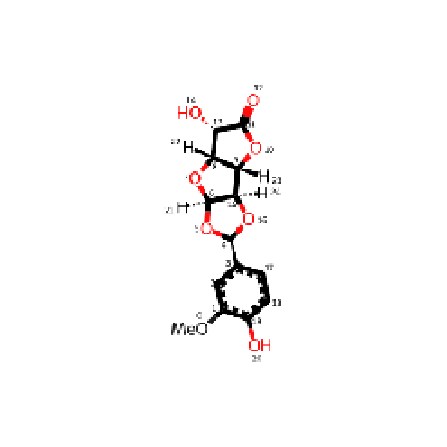 COc1cc([C@H]2O[C@H]3O[C@H]4[C@H](OC(=O)[C@H]4O)[C@H]3O2)ccc1O